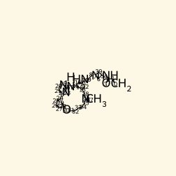 C=CC(=O)NC1CN(CCNc2cc3cc(c2)Nc2nccc(n2)-c2cccc(c2)OCC/C=C/CN(C)C3)C1